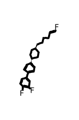 F/C=C/CCCC[C@H]1CC[C@H](c2ccc(-c3ccc(F)c(F)c3)cc2)CC1